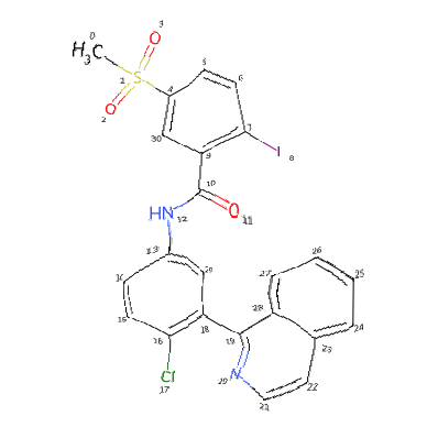 CS(=O)(=O)c1ccc(I)c(C(=O)Nc2ccc(Cl)c(-c3nccc4ccccc34)c2)c1